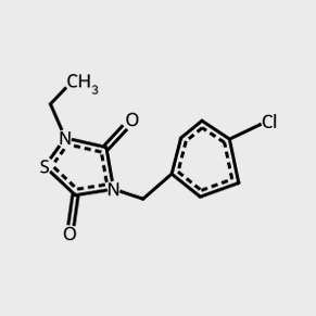 CCn1sc(=O)n(Cc2ccc(Cl)cc2)c1=O